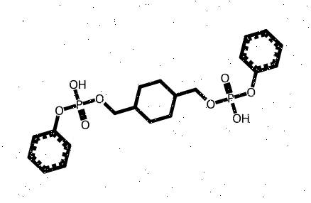 O=P(O)(OCC1CCC(COP(=O)(O)Oc2ccccc2)CC1)Oc1ccccc1